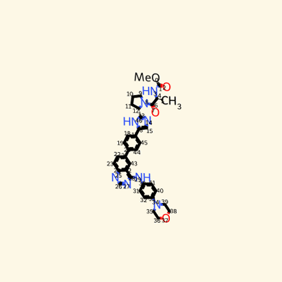 COC(=O)N[C@H](C)C(=O)N1CCC[C@H]1c1ncc(-c2ccc(-c3ccc4ncnc(Nc5ccc(N6CCOCC6)cc5)c4c3)cc2)[nH]1